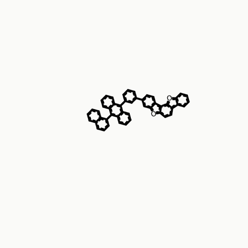 c1cc(-c2ccc3c(c2)oc2ccc4c5ccccc5oc4c23)cc(-c2c3ccccc3c(-c3cccc4ccccc34)c3ccccc23)c1